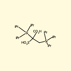 CC(C)[Si](CC(C(=O)O)([Si](C(C)C)(C(C)C)C(C)C)S(=O)(=O)O)(C(C)C)C(C)C